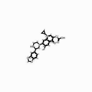 O=C(O)Oc1cn(C2CC2)c2cc(N3CCNC(c4ccc5c(c4)OCO5)C3)c(F)cc2c1=O